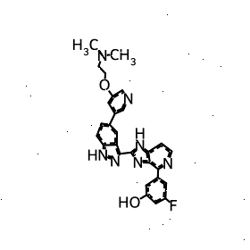 CN(C)CCOc1cncc(-c2ccc3[nH]nc(-c4nc5c(-c6cc(O)cc(F)c6)nccc5[nH]4)c3c2)c1